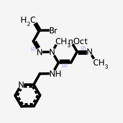 C=C(Br)/C=N\N(C)/C(=C\C(CCCCCCCC)=N/C)NCc1ccccn1